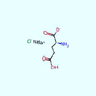 N[C@@H](CCC(=O)O)C(=O)[O-].[Cl-].[Na+].[Na+]